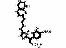 COc1ccc(C(CC(=O)O)c2ncc(CCCCc3ccc4c(n3)NCCC4)n2C)cc1F